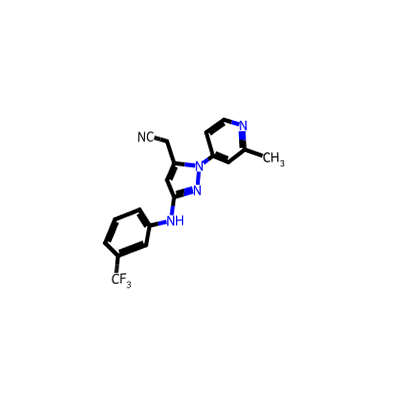 Cc1cc(-n2nc(Nc3cccc(C(F)(F)F)c3)cc2CC#N)ccn1